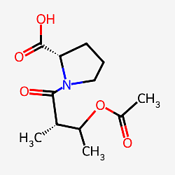 CC(=O)OC(C)[C@H](C)C(=O)N1CCC[C@H]1C(=O)O